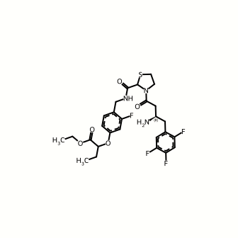 CCOC(=O)C(CC)Oc1ccc(CNC(=O)C2SCCN2C(=O)C[C@H](N)Cc2cc(F)c(F)cc2F)c(F)c1